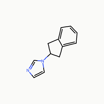 c1ccc2c(c1)CC(n1ccnc1)C2